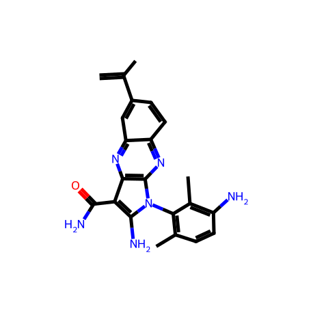 C=C(C)c1ccc2nc3c(nc2c1)c(C(N)=O)c(N)n3-c1c(C)ccc(N)c1C